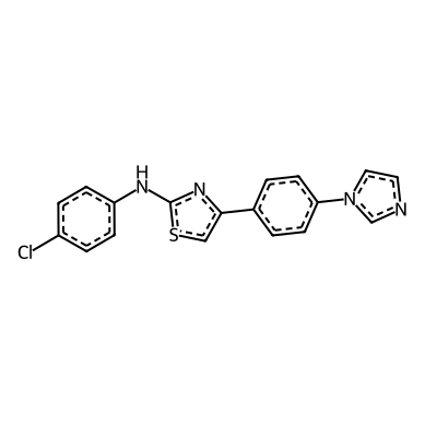 Clc1ccc(Nc2nc(-c3ccc(-n4ccnc4)cc3)cs2)cc1